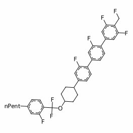 CCCCCc1ccc(C(F)(F)OC2CCC(c3ccc(-c4ccc(-c5cc(F)c(CF)c(F)c5)c(F)c4)c(F)c3)CC2)c(F)c1